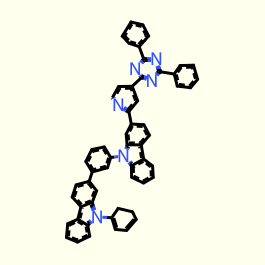 C1=CCCC(n2c3ccccc3c3ccc(-c4cccc(-n5c6ccccc6c6ccc(-c7cc(-c8nc(-c9ccccc9)nc(-c9ccccc9)n8)ccn7)cc65)c4)cc32)=C1